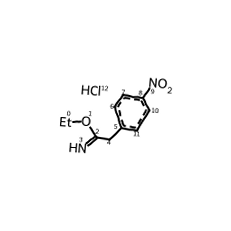 CCOC(=N)Cc1ccc([N+](=O)[O-])cc1.Cl